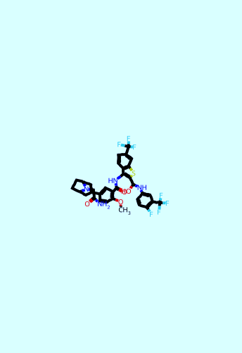 COc1ccc(C2CC3CCC(C2)N3CC(N)=O)cc1C(=O)Nc1c(C(O)Nc2ccc(F)c(C(F)(F)F)c2)sc2cc(C(F)(F)F)ccc12